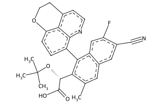 Cc1cc2cc(C#N)c(F)cc2c(-c2ccc3c4c(ccnc24)CCO3)c1[C@@H](OC(C)(C)C)C(=O)O